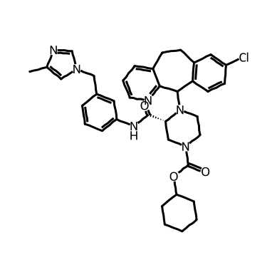 Cc1cn(Cc2cccc(NC(=O)[C@H]3CN(C(=O)OC4CCCCC4)CCN3C3c4ccc(Cl)cc4CCc4cccnc43)c2)cn1